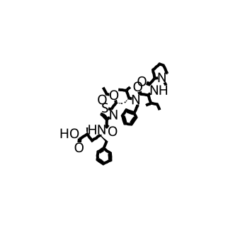 CCC(C)C(NC(=O)C1CCCCN1C)C(=O)N(Cc1ccccc1)[C@H](C[C@@H](OC(C)=O)c1nc(C(=O)N[C@@H](Cc2ccccc2)C[C@H](C)C(=O)O)cs1)C(C)C